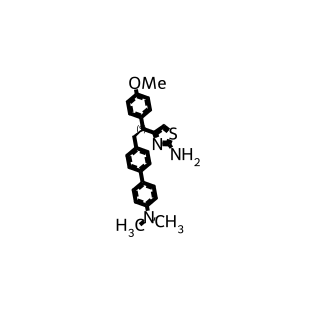 COc1ccc([C@H](Cc2ccc(-c3ccc(N(C)C)cc3)cc2)c2csc(N)n2)cc1